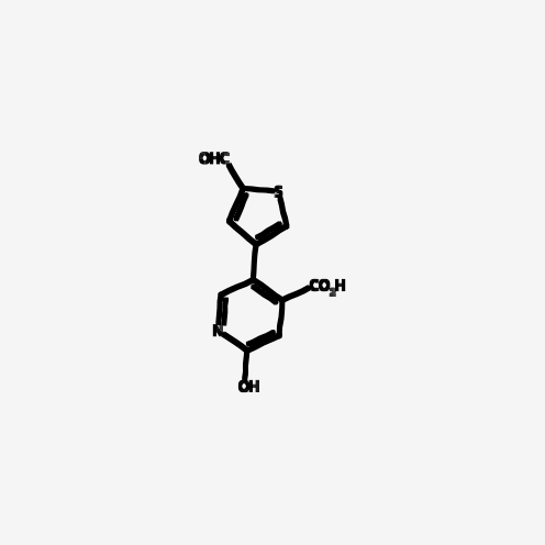 O=Cc1cc(-c2cnc(O)cc2C(=O)O)cs1